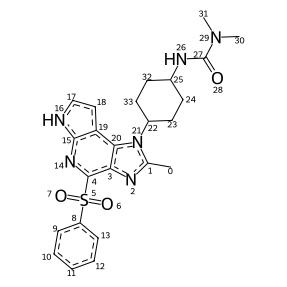 Cc1nc2c(S(=O)(=O)c3ccccc3)nc3[nH]ccc3c2n1C1CCC(NC(=O)N(C)C)CC1